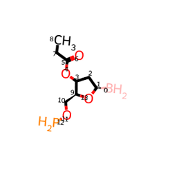 B[C@@H]1CC(OC(=O)CC)[C@H](COP)O1